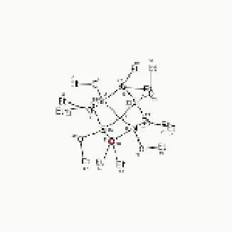 CCO[Si](OCC)(OCC)C([Si](OCC)(OCC)OCC)([Si](OCC)(OCC)OCC)[Si](OCC)(OCC)OCC